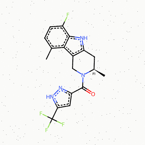 Cc1ccc(F)c2[nH]c3c(c12)CN(C(=O)c1cc(C(F)(F)F)[nH]n1)[C@H](C)C3